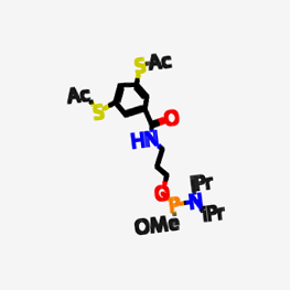 COP(OCCCNC(=O)c1cc(SC(C)=O)cc(SC(C)=O)c1)N(C(C)C)C(C)C